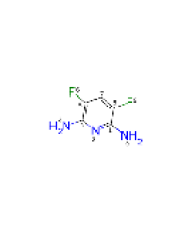 Nc1nc(N)c(F)cc1F